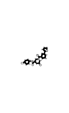 O=C1CC(C(=O)Nc2ccc(Cl)cc2)CN(C(=O)c2cccc(-c3ccco3)c2)C1